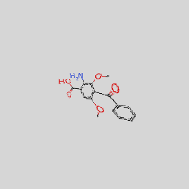 COc1cc(C(=O)O)c(N)c(OC)c1C(=O)c1ccccc1